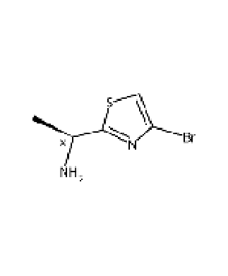 C[C@H](N)c1nc(Br)cs1